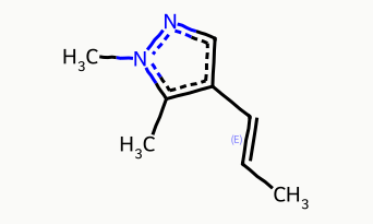 C/C=C/c1cnn(C)c1C